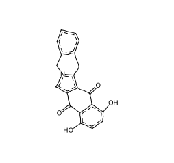 O=C1c2cn3c(c2C(=O)c2c(O)ccc(O)c21)Cc1ccccc1C3